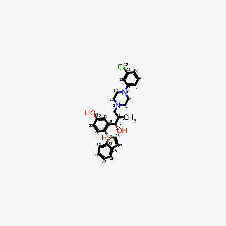 CC(CN1CCN(c2cccc(Cl)c2)CC1)C(O)c1cc(O)ccc1[SH]1C=Cc2ccccc21